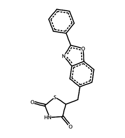 O=C1NC(=O)C(Cc2ccc3oc(-c4ccccc4)nc3c2)S1